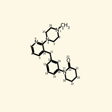 CN1CCN(c2ncccc2Cc2cccc(N3CCCCC3=O)c2)CC1